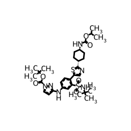 CC(C)OC(=O)N[C@H]1CC[C@H](c2ncc(-c3ccc(Nc4ccn(C(=O)OC(C)(C)C)n4)cc3S(=O)(=O)NC(C)(C)C)s2)CC1